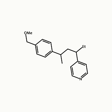 CCC(CC(C)c1ccc(COC)cc1)c1ccncc1